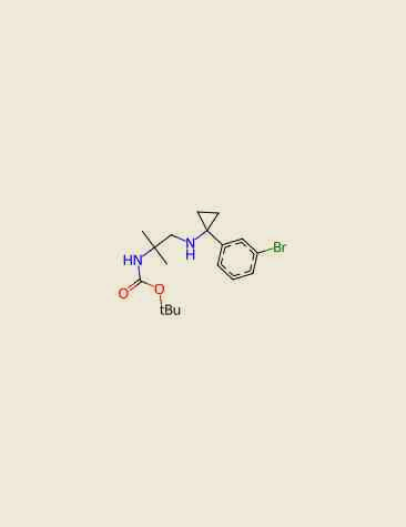 CC(C)(CNC1(c2cccc(Br)c2)CC1)NC(=O)OC(C)(C)C